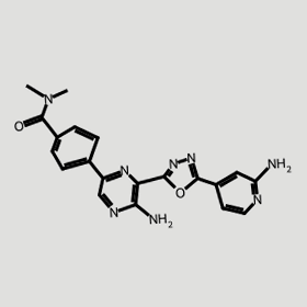 CN(C)C(=O)c1ccc(-c2cnc(N)c(-c3nnc(-c4ccnc(N)c4)o3)n2)cc1